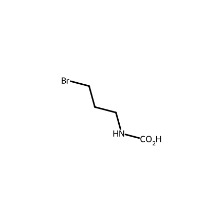 O=C(O)NCCCBr